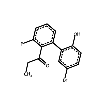 CCC(=O)c1c(F)cccc1-c1cc(Br)ccc1O